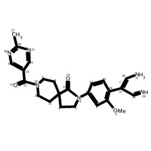 COc1cc(N2CCC3(CCN(C(=O)c4cnc(C)nc4)CC3)C2=O)ccc1/C(C=N)=C/N